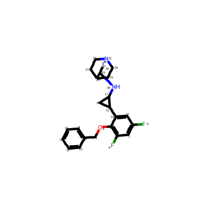 Fc1cc(F)c(OCc2ccccc2)c(C2CC2NC2CN3CCC2CC3)c1